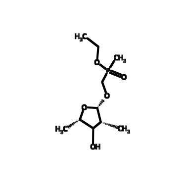 CCOP(C)(=O)CO[C@H]1O[C@@H](C)C(O)[C@H]1C